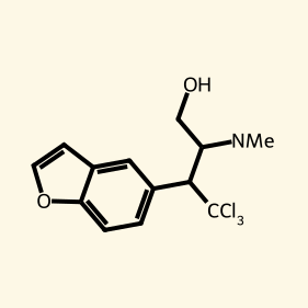 CNC(CO)C(c1ccc2occc2c1)C(Cl)(Cl)Cl